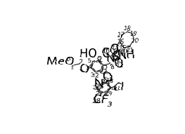 COCCOc1ccc(CN(C(=O)O)S(=O)(=O)NC2CCCCCC2)c(Oc2ncc(C(F)(F)F)cc2Cl)c1